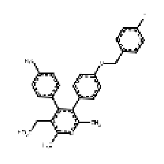 Cc1ccc(-c2c(CC(=O)O)c(C)nc(C)c2-c2ccc(OCc3ccc(F)cc3)cc2)cc1